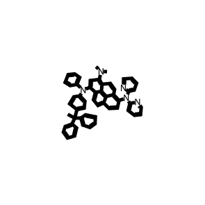 CN(C)c1cc(N(c2ccccc2)c2ccc(C(C)(c3ccccc3)c3ccccc3)cc2)c2ccc3ccc(N(c4ccccn4)c4ccccn4)c4ccc1c2c34